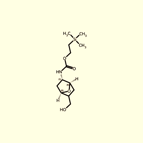 C[Si](C)(C)CCOC(=O)N[C@H]1C[C@H]2O[C@@H]1CC2CO